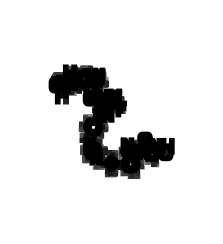 O=C1CCN(c2cncc3c2cccc3[C@H]2C[C@@H](CN3CCN(C[C@H]4CC[C@H](n5cc(NC(=O)c6cnn7ccc(N8C[C@H]9C[C@@H]8CO9)nc67)c(C(F)F)n5)CC4)CC3)C2)C(=O)N1